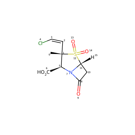 C[C@]1(/C=C\Cl)[C@H](C(=O)O)N2C(=O)C[C@H]2S1(=O)=O